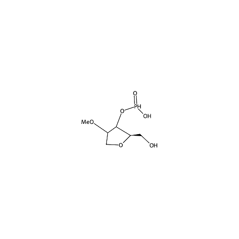 COC1CO[C@H](CO)C1O[PH](=O)O